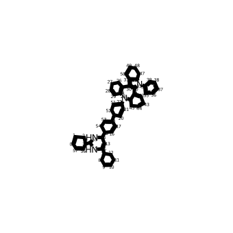 C1=CCC(C2NC(C3CC=CCC3)=CC(C3C=CC(C4C=CC(N5C6=C(CCC=C6)c6c7c(n(-c8ccccc8)c6C6=CC=CCC65)CCC=C7)=CC4)=CC3)N2)C=C1